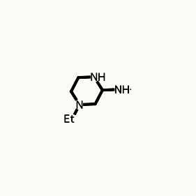 CCN1CCNC([NH])C1